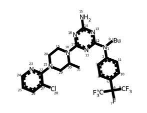 CCC(C)N(c1ccc(C(F)(C(F)(F)F)C(F)(F)F)cc1)c1nc(N)nc(N2CCN(c3ncccc3Cl)CC2C)n1